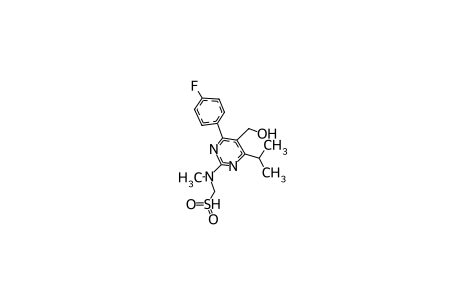 CC(C)c1nc(N(C)C[SH](=O)=O)nc(-c2ccc(F)cc2)c1CO